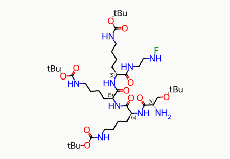 CC(C)(C)OC[C@H](N)C(=O)N[C@@H](CCCCNC(=O)OC(C)(C)C)C(=O)N[C@@H](CCCCNC(=O)OC(C)(C)C)C(=O)N[C@@H](CCCCNC(=O)OC(C)(C)C)C(=O)NCCNF